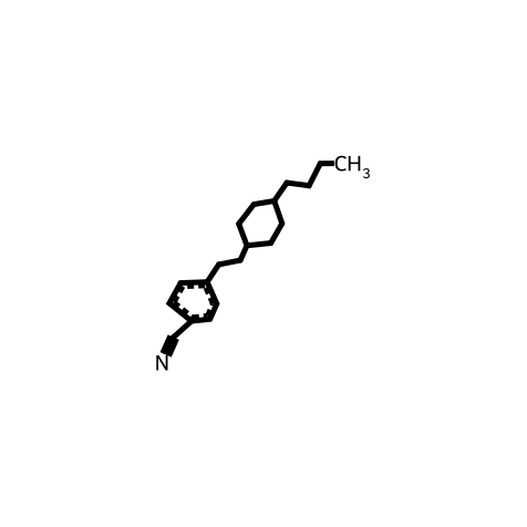 CCCCC1CCC(CCc2ccc(C#N)cc2)CC1